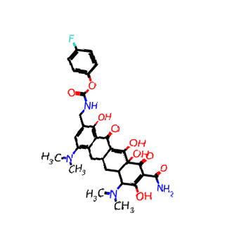 CN(C)c1cc(CNC(=O)Oc2ccc(F)cc2)c(O)c2c1CC1CC3C(N(C)C)C(O)=C(C(N)=O)C(=O)C3(O)C(O)=C1C2=O